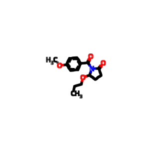 CCCOC1CCC(=O)N1C(=O)c1ccc(OC)cc1